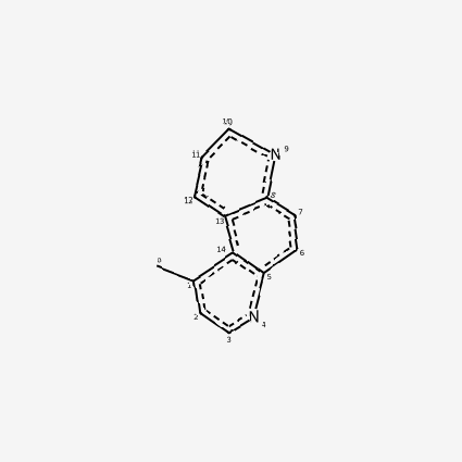 Cc1ccnc2ccc3ncccc3c12